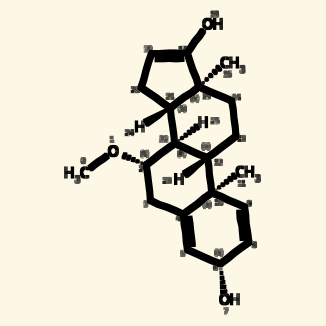 CO[C@H]1CC2=C[C@@H](O)C=C[C@]2(C)[C@H]2CC[C@]3(C)C(O)=CC[C@H]3[C@H]12